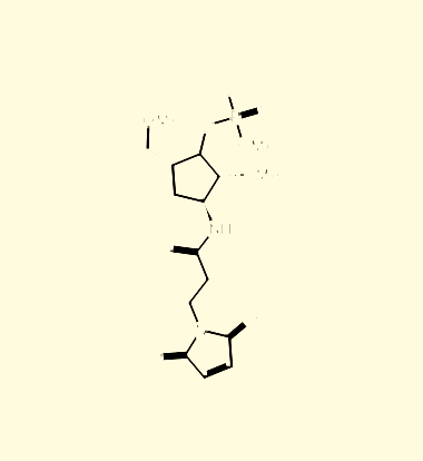 COC[C@H]1C[C@H](NC(=S)CCN2C(=O)C=CC2=O)[C@@H](OC)C1OP(O)(=S)OC